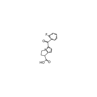 O=C(c1ccccc1F)c1ccc2n1CCC2C(=O)O